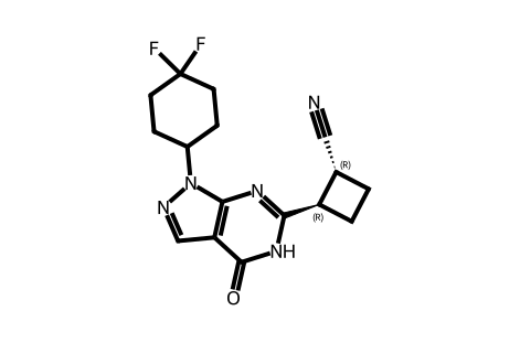 N#C[C@@H]1CC[C@H]1c1nc2c(cnn2C2CCC(F)(F)CC2)c(=O)[nH]1